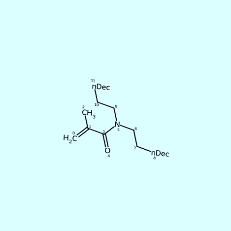 C=C(C)C(=O)N(CCCCCCCCCCCC)CCCCCCCCCCCC